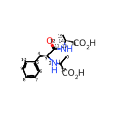 CC(N[C@@H](Cc1ccccc1)C(=O)N[C@@H](C)C(=O)O)C(=O)O